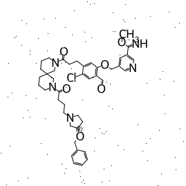 COC(=N)c1cncc(COc2cc(CCC(=O)N3CCCC4(CCCN(C(=O)CCCN5CC[C@@H](OCc6ccccc6)C5)C4)C3)c(Cl)cc2C=O)c1